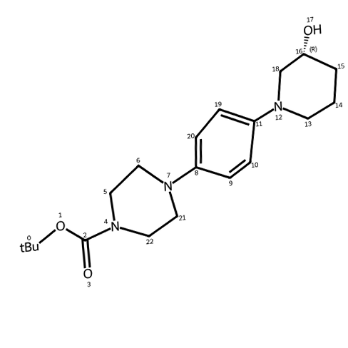 CC(C)(C)OC(=O)N1CCN(c2ccc(N3CCC[C@@H](O)C3)cc2)CC1